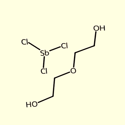 OCCOCCO.[Cl][Sb]([Cl])[Cl]